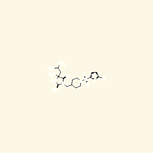 CC(C)CC1(C)NC(=N)N(CC2CCN(S(=O)(=O)c3ccc(Cl)s3)CC2)C1=O